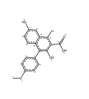 COc1ccc(-c2c(O)c(C(=O)O)c(C)c3cc(O)ccc23)cc1